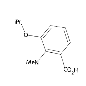 CNc1c(OC(C)C)cccc1C(=O)O